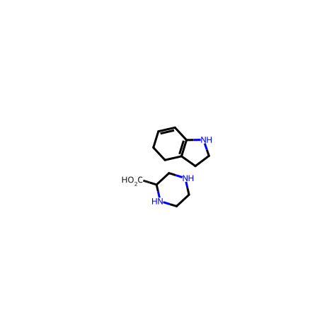 C1=CC2=C(CC1)CCN2.O=C(O)C1CNCCN1